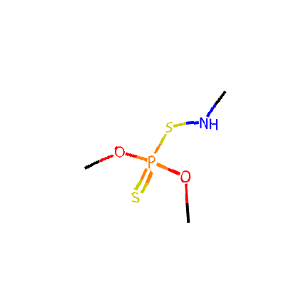 CNSP(=S)(OC)OC